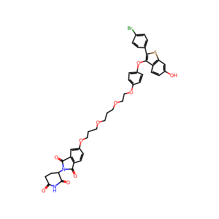 O=C1CCC(N2C(=O)c3ccc(OCCCOCCCOCCOc4ccc(Oc5c(-c6ccc(Br)cc6)sc6cc(O)ccc56)cc4)cc3C2=O)C(=O)N1